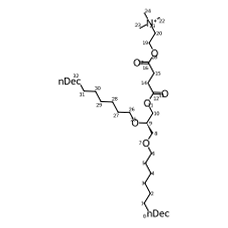 CCCCCCCCCCCCCCCCOC[C@H](COC(=O)CCC(=O)OCC[N+](C)(C)C)OCCCCCCCCCCCCCCCC